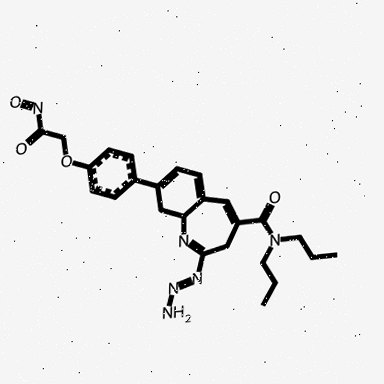 CCCN(CCC)C(=O)C1=CC2=CC=C(c3ccc(OCC(=O)N=O)cc3)CC2N=C(N=NN)C1